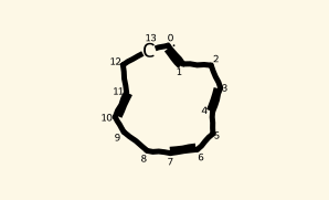 [C]1=C/C/C=C/C/C=C\CC/C=C/CC/1